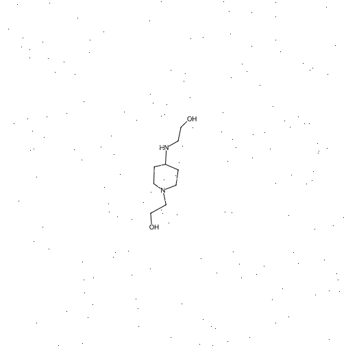 OCCNC1CCN(CCO)CC1